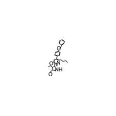 CCCCc1nnc(OC(C)C2CNCC2COC)cc1-c1ccc(OCc2ccccc2)cc1